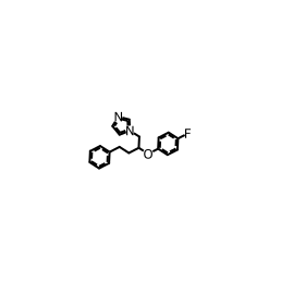 Fc1ccc(OC(CCc2ccccc2)Cn2ccnc2)cc1